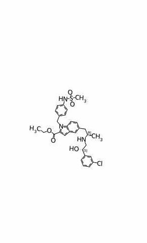 CCOC(=O)c1cc2cc(C[C@@H](C)NC[C@@H](O)c3cccc(Cl)c3)ccc2n1Cc1ccc(NS(C)(=O)=O)cc1